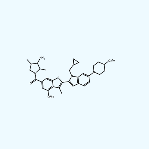 COc1cc(C(=O)N2CC(C)C(N)C2C)cc2sc(-c3cc4ccc(N5CCC(OC)CC5)cc4n3CC3CC3)c(C)c12